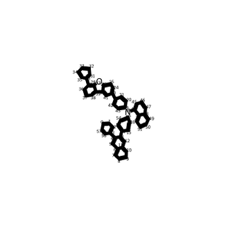 c1ccc(-c2cc3ccccc3cc2-c2ccc(N(c3ccc(-c4ccc5oc6c(-c7ccccc7)cccc6c5c4)cc3)c3cccc4ccccc34)cc2)cc1